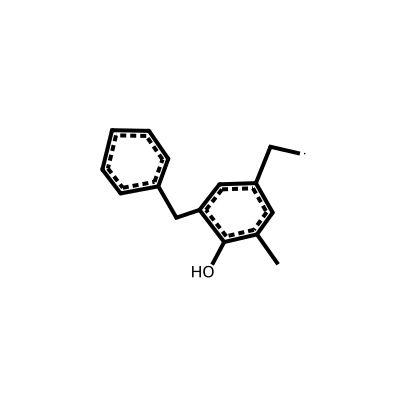 [CH2]Cc1cc(C)c(O)c(Cc2ccccc2)c1